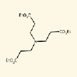 CCOC(=O)CCN(CCC(=O)OCC)CCC(=O)OCC